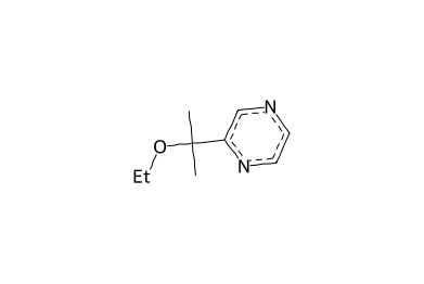 CCOC(C)(C)c1cnccn1